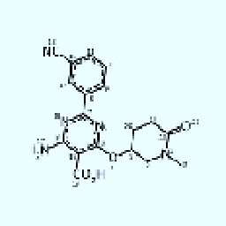 CN1CC(Oc2nc(-c3cccc(C#N)c3)nc(N)c2C(=O)O)CCC1=O